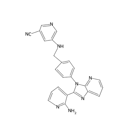 N#Cc1cncc(NCc2ccc(-n3c(-c4cccnc4N)nc4cccnc43)cc2)c1